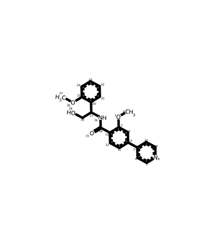 COc1cc(-c2ccncc2)ccc1C(=O)NC(CO)c1ccccc1OC